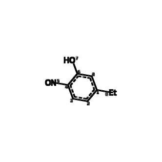 CCc1ccc(N=O)c(O)c1